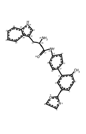 Cc1ccc(-c2ncco2)cc1-c1ccc(NC(=O)C(N)Cc2c[nH]c3ccccc23)cc1